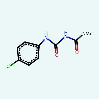 CNC(=O)NC(=O)Nc1ccc(Cl)cc1